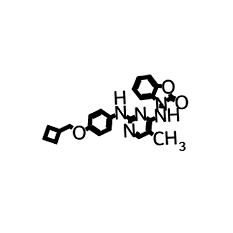 Cc1cnc(Nc2ccc(OCC3CCC3)cc2)nc1Nn1c(=O)oc2ccccc21